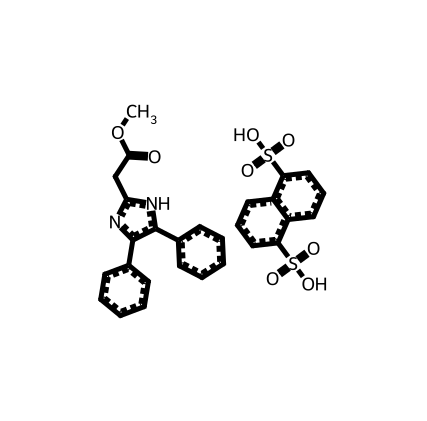 COC(=O)Cc1nc(-c2ccccc2)c(-c2ccccc2)[nH]1.O=S(=O)(O)c1cccc2c(S(=O)(=O)O)cccc12